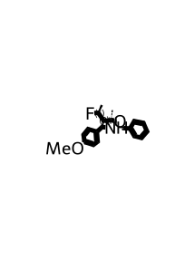 COc1ccc(C2N[C@](C)(OCc3ccccc3)[C@@H]2[C@H](C)F)cc1